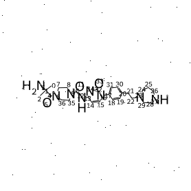 CC(C)(N)C(=O)N1CCN(C(=O)Nc2ccn(-c3ccc(CCN4CCCNCC4)cc3)c(=O)n2)CC1